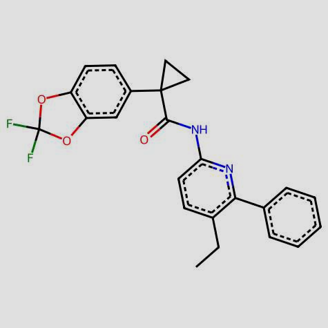 CCc1ccc(NC(=O)C2(c3ccc4c(c3)OC(F)(F)O4)CC2)nc1-c1ccccc1